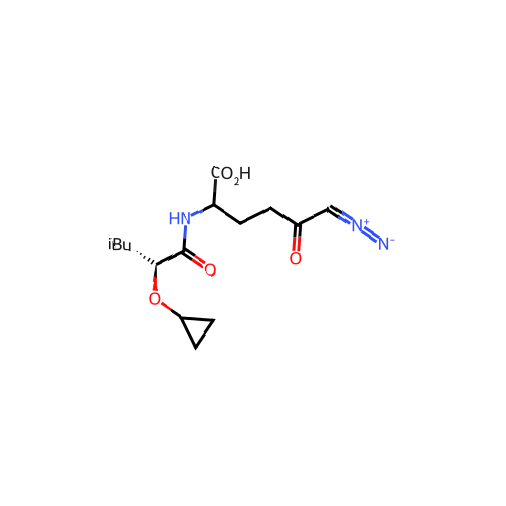 CC[C@@H](C)[C@H](OC1CC1)C(=O)NC(CCC(=O)C=[N+]=[N-])C(=O)O